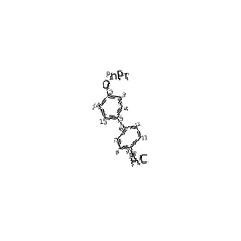 CCCOc1ccc(-c2ccc(C(C)=O)cc2)cc1